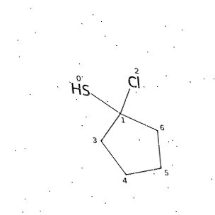 SC1(Cl)CCCC1